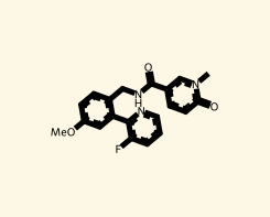 COc1ccc(CNC(=O)c2ccc(=O)n(C)c2)c(-c2ncccc2F)c1